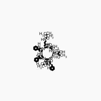 C[C@@H](O)[C@H](NC(=O)[C@@H]1CSSC[C@H](NC(=O)[C@@H](Cc2ccccc2)NC(=O)OC(C)(C)C)C(=O)N[C@@H](Cc2csc3ccccc23)C(=O)N[C@H](Cc2c[nH]c3ccccc23)C(=O)N[C@@H](CCCCNC(=O)OC(C)(C)C)C(=O)N[C@@H]([C@@H](C)O)C(=O)N1)C(=O)O